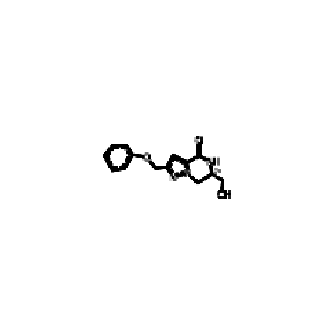 O=C1N[C@@H](CO)Cn2nc(COc3ccccc3)cc21